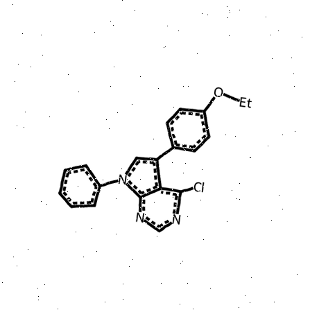 CCOc1ccc(-c2cn(-c3ccccc3)c3ncnc(Cl)c23)cc1